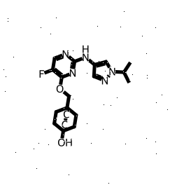 CC(C)n1cc(Nc2ncc(F)c(OCC34CCC(O)(CC3)CC4)n2)cn1